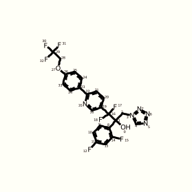 OC(Cn1cnnn1)(c1ccc(F)cc1F)C(F)(F)c1ccc(-c2ccc(OCC(F)(F)F)cc2)nc1